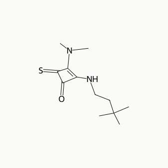 CN(C)c1c(NCCC(C)(C)C)c(=O)c1=S